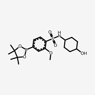 COc1cc(B2OC(C)(C)C(C)(C)O2)ccc1S(=O)(=O)NC1CCC(O)CC1